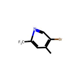 Cc1cc(C(F)(F)F)ncc1Br